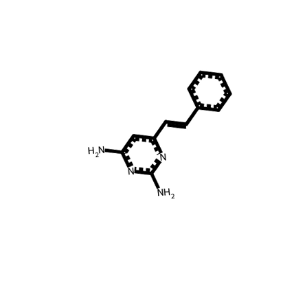 Nc1cc(/C=C/c2ccccc2)nc(N)n1